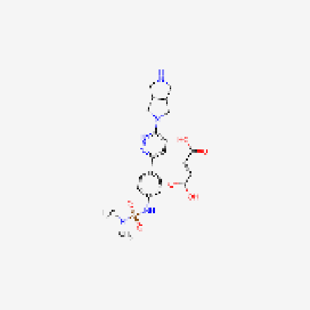 CN(C)S(=O)(=O)Nc1ccc(-c2ccc(N3CC4CNCC4C3)nn2)cc1.O=C(O)C=CC(=O)O